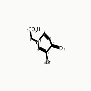 O=C(O)Cn1ccc(=O)c(Br)c1